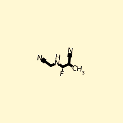 CC(C#N)[C@H](F)NCC#N